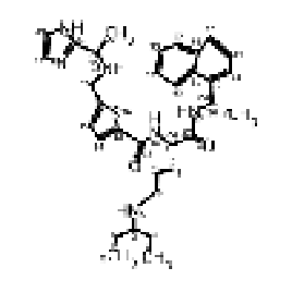 CCC(CC)NCCC[C@H](NC(=O)c1ccc(CNC(C)c2ncc[nH]2)s1)C(=O)N[C@@H](C)c1cccc2ccccc12